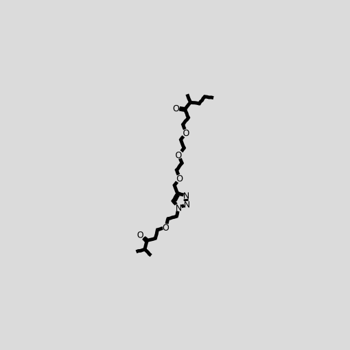 CCCC(C)C(=O)CCOCCOCCOCc1cn(CCOCCC(=O)C(C)C)nn1